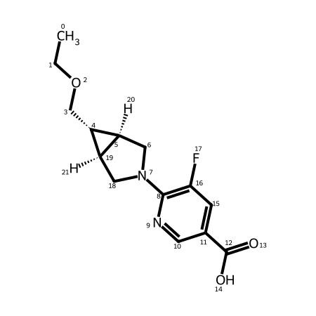 CCOC[C@@H]1[C@H]2CN(c3ncc(C(=O)O)cc3F)C[C@@H]12